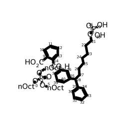 CCCCCCCCOP(=O)(OCCCCCCCC)OCCCCCCCC.O=C(O)c1ccccc1C(=O)O.O=P(O)(O)OCCCCCCCC(c1ccccc1)c1ccccc1